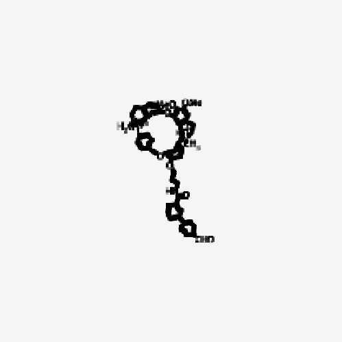 COc1cc2c3c(c1OC)Oc1ccc4c(c1)[C@H](Cc1ccc(cc1)Oc1cc(ccc1OCCCNC(=O)c1cccc(-c5ccc(C=O)cc5)c1)C[C@H]3N(C)CC2)N(C)CC4